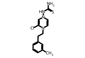 Cc1cccc(CCN2C=CN(NC(N)=S)C=C2Cl)c1